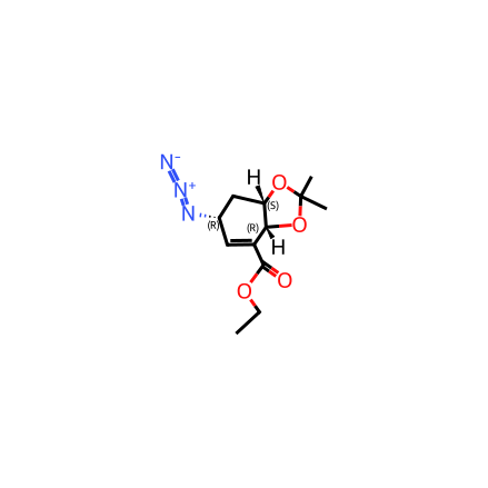 CCOC(=O)C1=C[C@H](N=[N+]=[N-])C[C@@H]2OC(C)(C)O[C@H]12